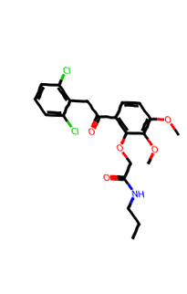 CCCNC(=O)COc1c(C(=O)Cc2c(Cl)cccc2Cl)ccc(OC)c1OC